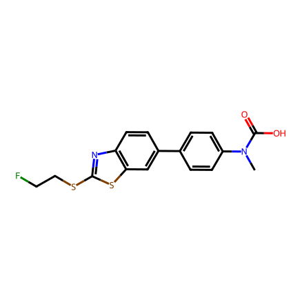 CN(C(=O)O)c1ccc(-c2ccc3nc(SCCF)sc3c2)cc1